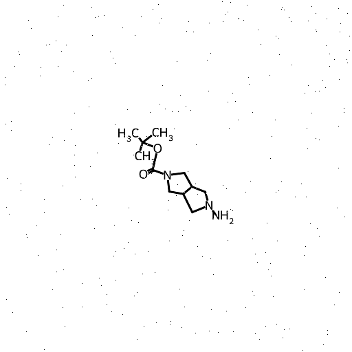 CC(C)(C)OC(=O)N1CC2CN(N)CC2C1